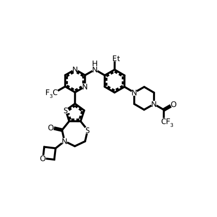 CCc1cc(N2CCN(C(=O)C(F)(F)F)CC2)ccc1Nc1ncc(C(F)(F)F)c(-c2cc3c(s2)C(=O)N(C2COC2)CCS3)n1